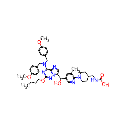 CCCCOc1nc(N(Cc2ccc(OC)cc2)Cc2ccc(OC)cc2)c2ncc(C(O)c3cnc(N4CCC(CNC(=O)O)CC4)c(C)c3)n2n1